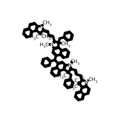 CN1/C(=C/C=C/C2=[N+](C)c3cc(C(c4ccccc4)c4cc5c(c6ccccc46)C(C)(Cc4ccccc4)C(/C=C/C=C4/N(C)c6ccc7ccccc7c6C4(C)C)=[N+]5C)c4ccccc4c3C2(C)Cc2ccccc2)C(C)(C)c2c1ccc1ccccc21